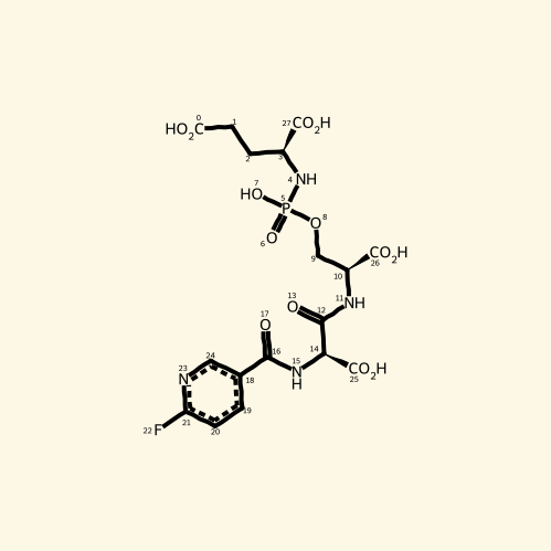 O=C(O)CC[C@H](NP(=O)(O)OC[C@H](NC(=O)[C@H](NC(=O)c1ccc(F)nc1)C(=O)O)C(=O)O)C(=O)O